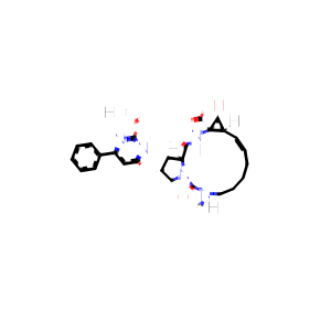 COc1nc(O[C@@H]2C[C@H]3C(=O)N[C@]4(C(=O)O)C[C@H]4/C=C\CCCCN(C)C(=O)N3C2)cc(-c2ccccc2)n1